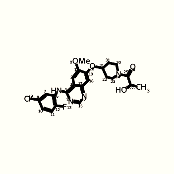 COc1cc2c(Nc3cc(Cl)ccc3F)ncnc2cc1OC1CCN(C(=O)C(C)O)CC1